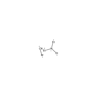 CCN(CC)CC.N#CBr